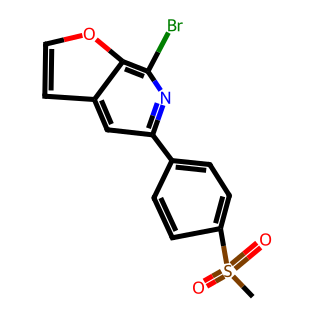 CS(=O)(=O)c1ccc(-c2cc3ccoc3c(Br)n2)cc1